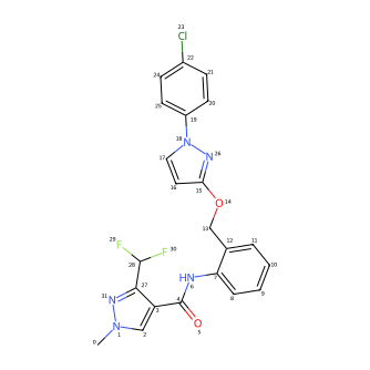 Cn1cc(C(=O)Nc2ccccc2COc2ccn(-c3ccc(Cl)cc3)n2)c(C(F)F)n1